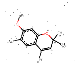 CCCOc1cc2c(cc1C(C)=O)C(C(C)C)=CC(C)(C)O2